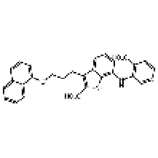 O=C(O)c1ccncc1Nc1cccc2c(CCCOc3cccc4ccccc34)c(C(=O)O)[nH]c12